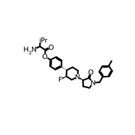 Cc1ccc(CN2CC[C@@H](N3CC[C@@H](c4ccc(OC(=O)C(N)C(C)C)cc4)[C@H](F)C3)C2=O)cc1